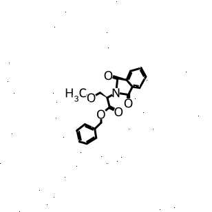 COC[C@H](C(=O)OCc1ccccc1)N1C(=O)c2ccccc2C1=O